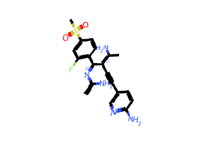 C=C(N)/N=C(\C(C#Cc1ccc(N)nc1)=C(\C)N)c1ccc(S(C)(=O)=O)cc1F